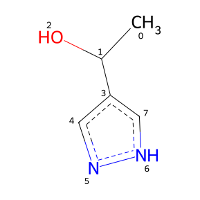 CC(O)c1cn[nH]c1